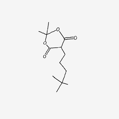 CC(C)(C)CCCC1C(=O)OC(C)(C)OC1=O